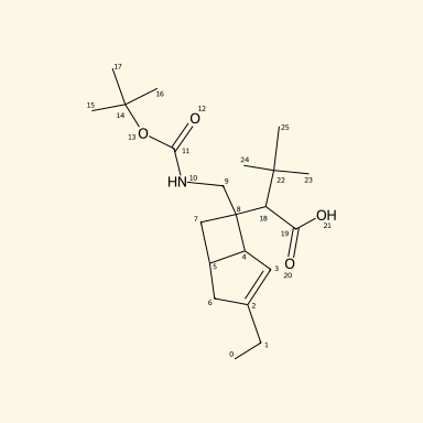 CCC1=CC2C(C1)CC2(CNC(=O)OC(C)(C)C)C(C(=O)O)C(C)(C)C